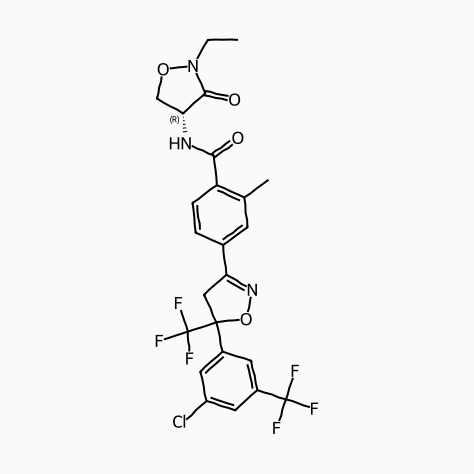 CCN1OC[C@@H](NC(=O)c2ccc(C3=NOC(c4cc(Cl)cc(C(F)(F)F)c4)(C(F)(F)F)C3)cc2C)C1=O